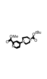 COC(=O)c1cc(N2CCN(C(=O)OC(C)(C)C)CC2)ccn1